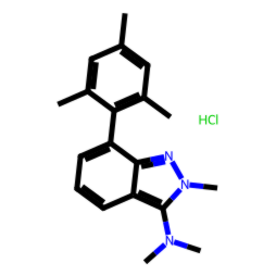 Cc1cc(C)c(-c2cccc3c(N(C)C)n(C)nc23)c(C)c1.Cl